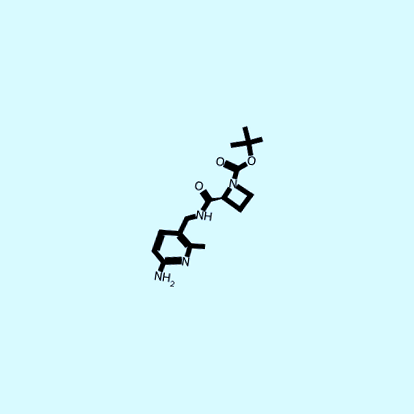 Cc1nc(N)ccc1CNC(=O)[C@@H]1CCN1C(=O)OC(C)(C)C